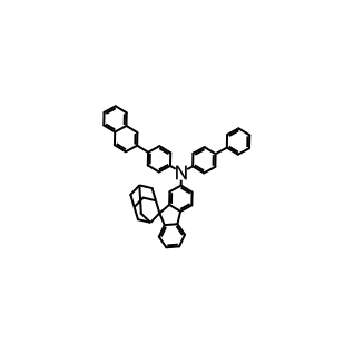 c1ccc(-c2ccc(N(c3ccc(-c4ccc5ccccc5c4)cc3)c3ccc4c(c3)C3(c5ccccc5-4)C4CC5CC(C4)CC3C5)cc2)cc1